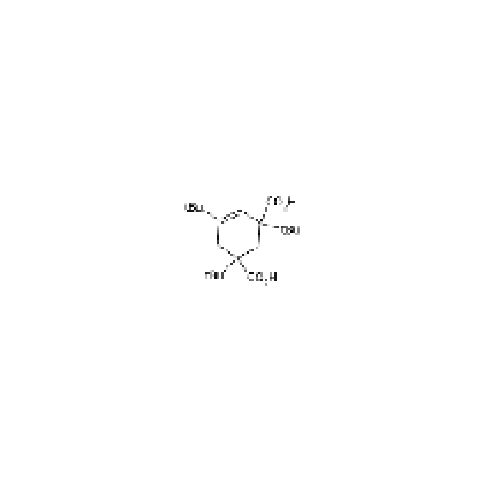 CC(C)(C)C1=CC(C(=O)O)(C(C)(C)C)CC(C(=O)O)(C(C)(C)C)C1